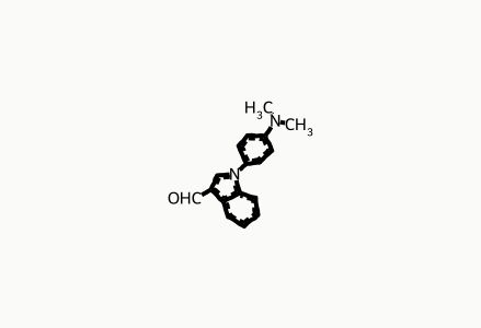 CN(C)c1ccc(-n2cc(C=O)c3ccccc32)cc1